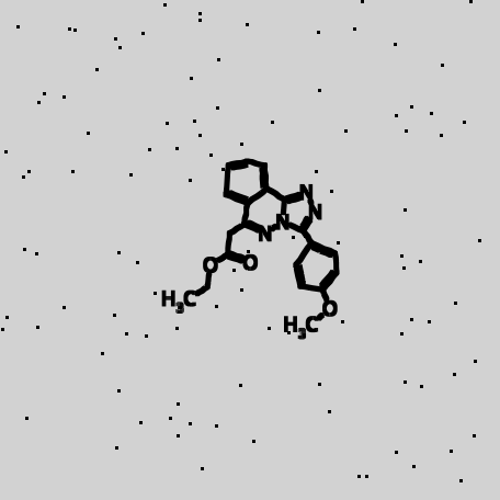 CCOC(=O)Cc1nn2c(-c3ccc(OC)cc3)nnc2c2ccccc12